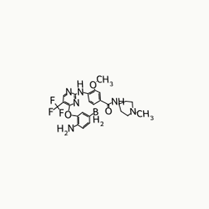 Bc1ccc(N)c(Oc2nc(Nc3ccc(C(=O)NC4CCN(C)CC4)cc3OC)ncc2C(F)(F)F)c1